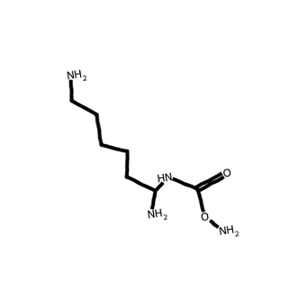 NCCCCCC(N)NC(=O)ON